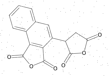 O=C1CC(c2cc3ccccc3c3c2C(=O)OC3=O)C(=O)O1